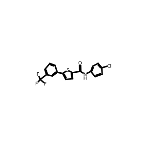 O=C(Nc1ccc(Cl)cc1)c1ccc(-c2cccc(C(F)(F)F)c2)s1